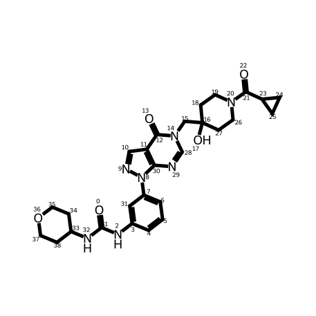 O=C(Nc1cccc(-n2ncc3c(=O)n(CC4(O)CCN(C(=O)C5CC5)CC4)cnc32)c1)NC1CCOCC1